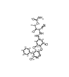 CC(OC(N)=O)C(=O)C(C#N)NNc1cc(Cl)c(Oc2cc(-c3ccccc3)c(Cl)nn2)c(Cl)c1